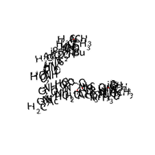 C=CC(=O)N(CCC(=O)NCCC(=O)Nc1cc(C[C@@H](CC(C)C(=O)O)NC(=O)c2csc([C@@H](C[C@H](C(C)C)N(C)C(=O)[C@@H](NC(=O)C(C)(C)N(C)C)[C@@H](C)CC)OC(C)=O)n2)ccc1O)N(CCC(=O)NCCC(=O)Nc1cc(C[C@@H](CC(C)C(=O)O)NC(=O)c2csc([C@@H](C[C@H](C(C)C)N(C)C(=O)[C@@H](NC(=O)C(C)(C)N(C)C)[C@@H](C)CC)OC(C)=O)n2)ccc1O)C(C)=O